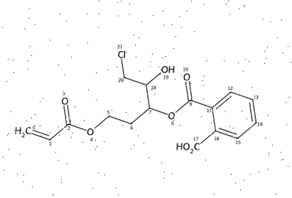 C=CC(=O)OCCC(OC(=O)c1ccccc1C(=O)O)C(O)CCl